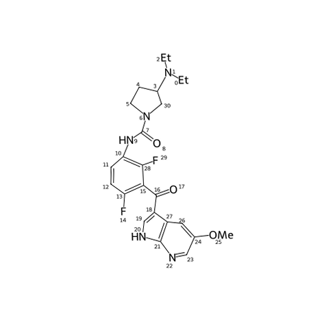 CCN(CC)C1CCN(C(=O)Nc2ccc(F)c(C(=O)c3c[nH]c4ncc(OC)cc34)c2F)C1